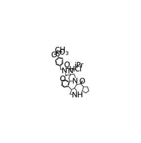 CC(C)CN1C(=O)N(Cc2ccc(S(C)(=O)=O)cc2)C(=O)C12CCN(C(C(=O)C1CCCC1)C1CNCC1c1ccccc1)CC2.Cl